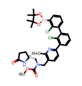 COc1nc(-c2cccc(-c3cccc(B4OC(C)(C)C(C)(C)O4)c3Cl)c2Cl)ccc1CN(C[C@H]1CCC(=O)N1)C(=O)OC(C)(C)C